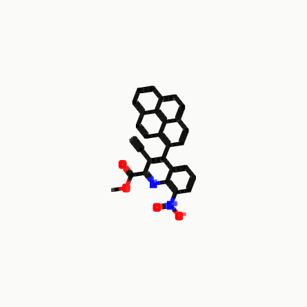 C#Cc1c(C(=O)OC)nc2c([N+](=O)[O-])cccc2c1-c1ccc2ccc3cccc4ccc1c2c34